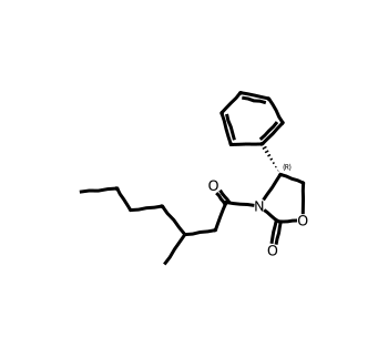 CCCCC(C)CC(=O)N1C(=O)OC[C@H]1c1ccccc1